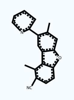 Cc1cc2oc3ccc(C#N)c(C)c3c2cc1-c1ccccn1